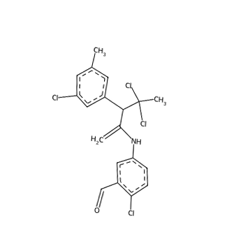 C=C(Nc1ccc(Cl)c(C=O)c1)C(c1cc(C)cc(Cl)c1)C(C)(Cl)Cl